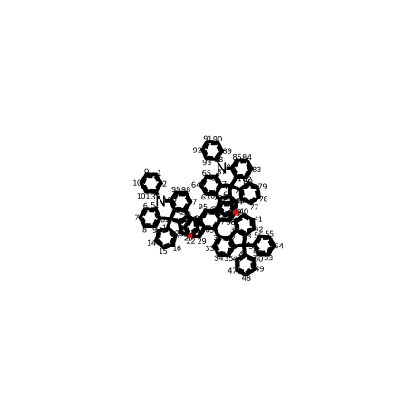 c1ccc(N2c3ccccc3C(c3ccccc3)(c3ccccc3)c3c(-c4cccc5c(-c6cccc7c6-c6ccccc6C7(c6ccccc6)c6ccccc6)c6cccc(-c7cccc8c7C(c7ccccc7)(c7ccccc7)c7ccccc7N8c7ccccc7)c6cc45)cccc32)cc1